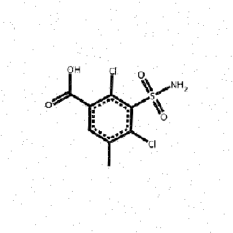 Cc1cc(C(=O)O)c(Cl)c(S(N)(=O)=O)c1Cl